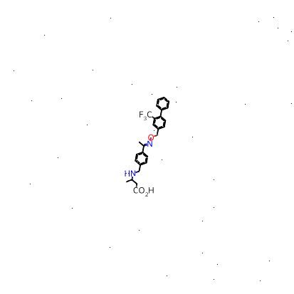 C/C(=N\OCc1ccc(-c2ccccc2)c(C(F)(F)F)c1)c1ccc(CNC(C)CC(=O)O)cc1